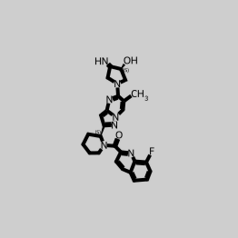 Cc1cn2nc([C@@H]3CCCCN3C(=O)c3ccc4cccc(F)c4n3)cc2nc1N1CC(=N)[C@@H](O)C1